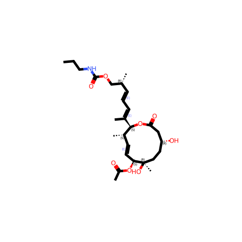 CCCNC(=O)OC[C@H](C)/C=C/C=C(\C)[C@H]1OC(=O)C[C@H](O)CC[C@@](C)(O)[C@@H](OC(C)=O)/C=C/[C@@H]1C